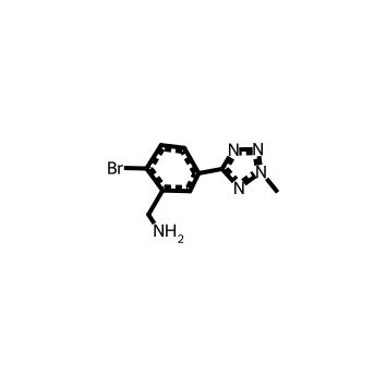 Cn1nnc(-c2ccc(Br)c(CN)c2)n1